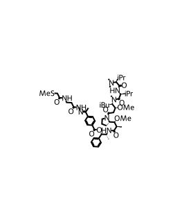 CC[C@H](C)[C@@H]([C@@H](CC(=O)N1CCC[C@H]1[C@H](OC)[C@@H](C)C(=O)N[C@H](C)[C@@H](OC(=O)c1ccc(/C(C)=N/NC(=O)CCNC(=O)CSC)cc1)c1ccccc1)OC)N(C)C(=O)[C@@H](NC(=O)[C@H](C(C)C)N(C)C)C(C)C